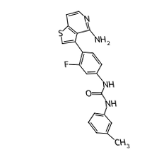 Cc1cccc(NC(=O)Nc2ccc(-c3csc4ccnc(N)c34)c(F)c2)c1